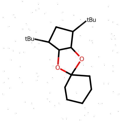 CC(C)(C)C1CC(C(C)(C)C)C2OC3(CCCCC3)OC21